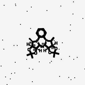 CC1[C@H]2OC(C)(C)O[C@H]2[C@@H](C)P1c1ccccc1P1C(C)[C@H]2OC(C)(C)O[C@H]2[C@H]1C